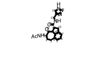 CC(=O)N[C@H]1CCc2cccc3c2C(C1=O)[C@H](C(=O)NCc1c[nH]nn1)C3